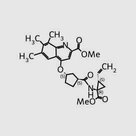 C=C[C@@H]1C[C@]1(NC(=O)[C@H]1CC[C@H](Oc2cc(C(=O)OC)nc3c(C)c(C)c(C)cc23)C1)C(=O)OC